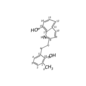 Cc1cccc(CCc2ccc3cccc(O)c3n2)c1O